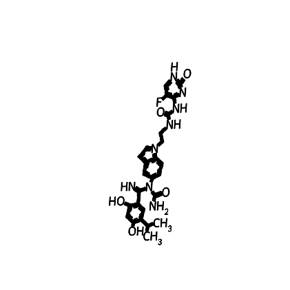 CC(C)c1cc(C(=N)N(C(N)=O)c2ccc3c(ccn3CCNC(=O)Nc3nc(=O)[nH]cc3F)c2)c(O)cc1O